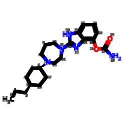 CCC[C@H]1CC[C@H](N2CCCN(c3nc4c(OC(N)=O)cccc4[nH]3)CC2)CC1